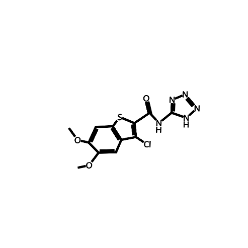 COc1cc2sc(C(=O)Nc3nnn[nH]3)c(Cl)c2cc1OC